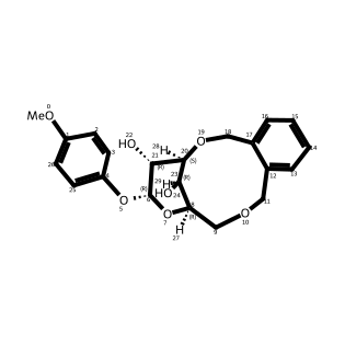 COc1ccc(O[C@H]2O[C@@H]3COCc4ccccc4CO[C@H]([C@H]2O)[C@@H]3O)cc1